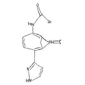 O=C(S)Nc1ccc(-c2cc[nH]n2)c2c1[PH]2=S